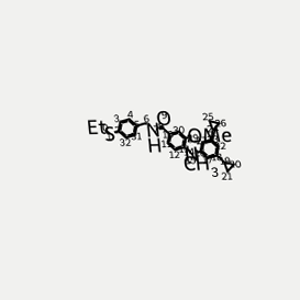 CCSc1ccc(CNC(=O)c2ccc(N(C)c3cc(C4CC4)cc(C4CC4)c3)c(OC)c2)cc1